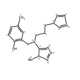 Cc1ccc(O)c(CN(CCCn2ccnc2)c2nnnn2C(C)(C)C)c1